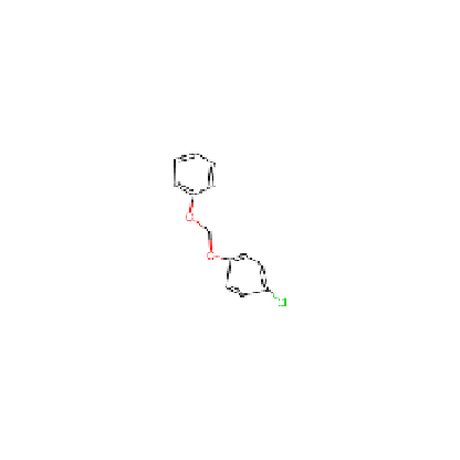 Clc1ccc(OCOc2[c]cccc2)cc1